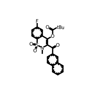 CN1C(C(=O)c2ccc3ccccc3c2)=C(OC(=O)C(C)(C)C)c2cc(F)ccc2S1(=O)=O